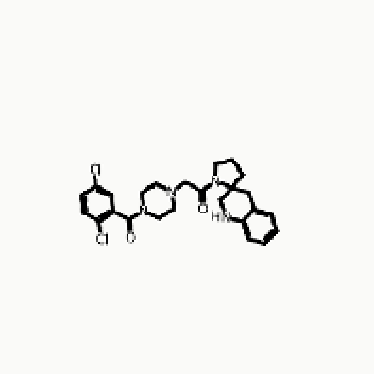 O=C(c1cc(Cl)ccc1Cl)N1CCN(CC(=O)N2CCCC23CNc2ccccc2C3)CC1